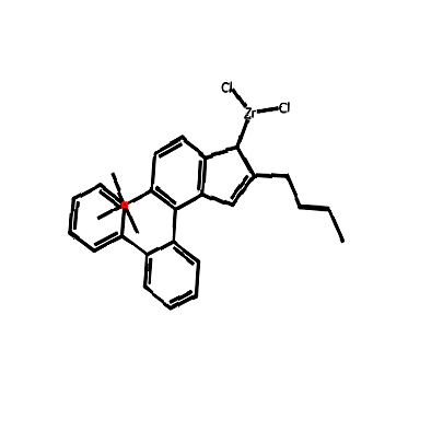 CCCCC1=Cc2c(ccc(C(C)(C)C)c2-c2ccccc2-c2ccccc2)[CH]1[Zr]([Cl])[Cl]